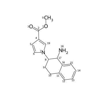 COC(=O)c1ccn(C2CCc3ccccc3C2N)c1